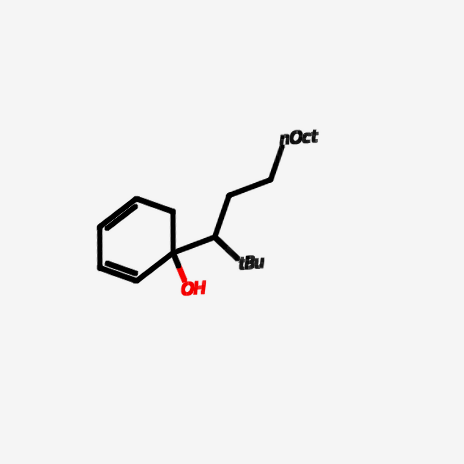 CCCCCCCCCCC(C(C)(C)C)C1(O)C=CC=CC1